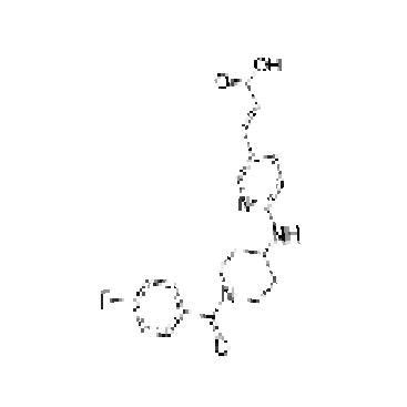 O=C(O)C=Cc1ccc(NC2CCN(C(=O)c3ccc(F)cc3)CC2)nc1